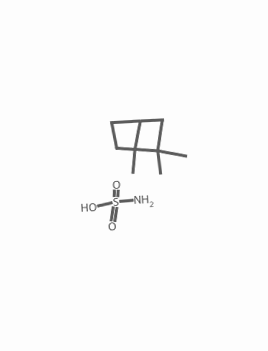 CC1(C)CC2CCC21C.NS(=O)(=O)O